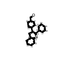 O=Cc1ccc(-c2cc3ccccc3nc2-c2ccccc2)cc1